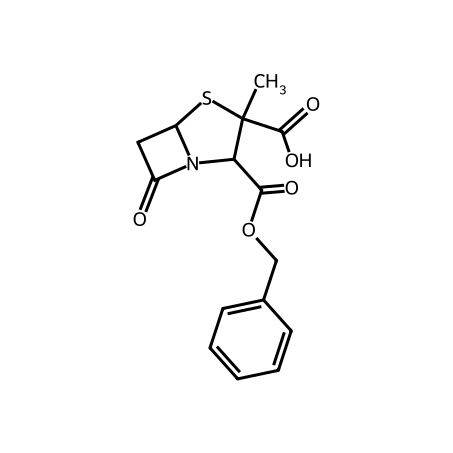 CC1(C(=O)O)SC2CC(=O)N2C1C(=O)OCc1ccccc1